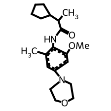 COc1cc(N2CCOCC2)cc(C)c1NC(=O)C(C)C1CCCC1